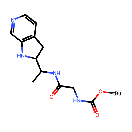 CC(NC(=O)CNC(=O)OC(C)(C)C)C1Cc2ccncc2N1